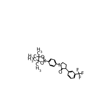 CC1(C)OB(c2ccc(N3CCC(c4cccc(C(F)(F)F)c4)C3=O)cc2)OC1(C)C